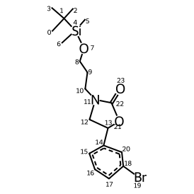 CC(C)(C)[Si](C)(C)OCCCN1CC(c2cccc(Br)c2)OC1=O